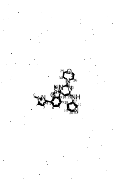 Cn1ccc(-c2cccc(C3([S+](C)[O-])C=C(Nc4cccnc4)N=C(N4CCOCC4)N3)c2)n1